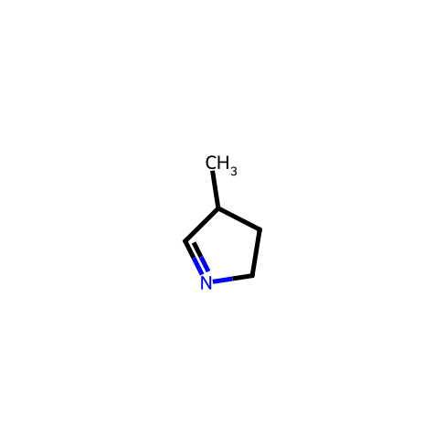 CC1C=NCC1